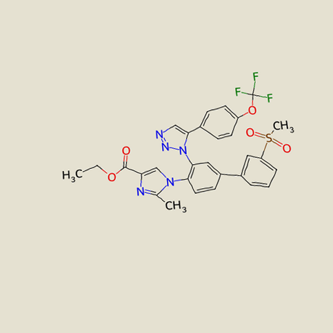 CCOC(=O)c1cn(-c2ccc(-c3cccc(S(C)(=O)=O)c3)cc2-n2nncc2-c2ccc(OC(F)(F)F)cc2)c(C)n1